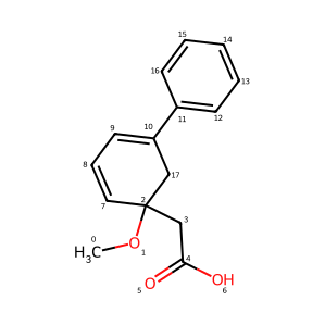 COC1(CC(=O)O)C=CC=C(c2ccccc2)C1